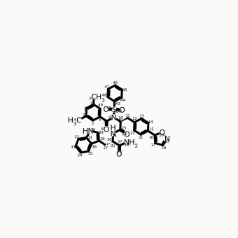 Cc1cc(C)cc(C(=O)N([C@@H](Cc2ccc(-c3ccno3)cc2)C(=O)N[C@@H](Cc2c[nH]c3ccccc23)C(N)=O)S(=O)(=O)c2ccccc2)c1